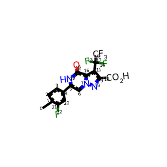 Cc1ccc(-c2cn3nc(C(=O)O)c(C(F)(F)C(F)(F)F)c3c(=O)[nH]2)cc1F